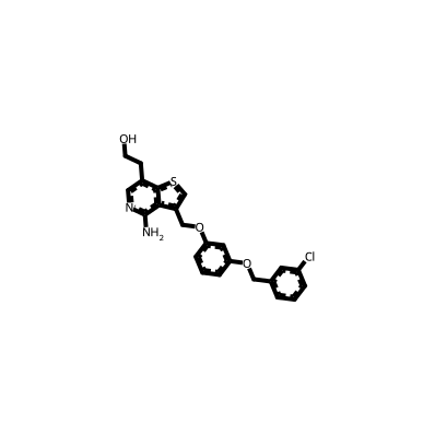 Nc1ncc(CCO)c2scc(COc3cccc(OCc4cccc(Cl)c4)c3)c12